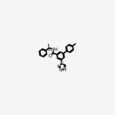 Cc1ccc(-c2cc(C(=O)N[C@H](C)c3ccccc3)cc(-n3cnnn3)c2)cc1